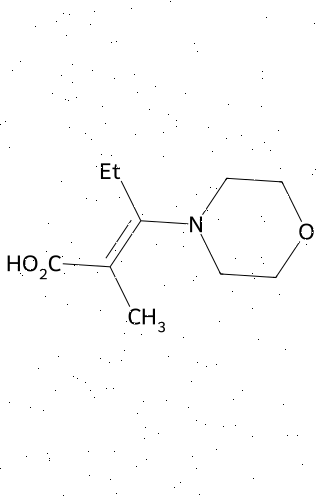 CCC(=C(C)C(=O)O)N1CCOCC1